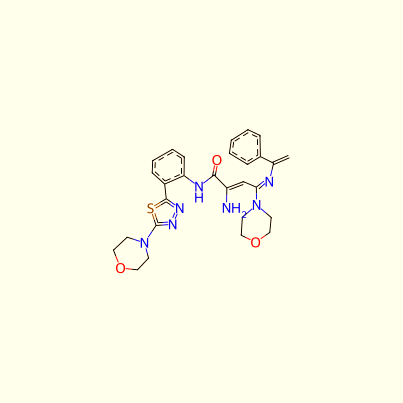 C=C(/N=C(\C=C(/N)C(=O)Nc1ccccc1-c1nnc(N2CCOCC2)s1)N1CCOCC1)c1ccccc1